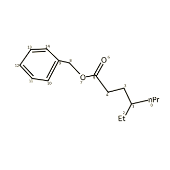 CCCC(CC)CCC(=O)OCc1ccccc1